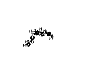 Cc1cc(Nc2nccn3c(-c4ccc(OC(F)F)cc4)cnc23)ccc1C(=O)N1CCC(C(=O)N[C@@H]2CCNC2)CC1